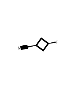 N#C[C@H]1C[C@@H](F)C1